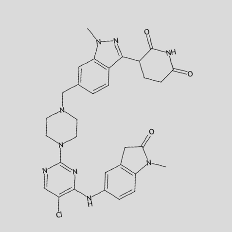 CN1C(=O)Cc2cc(Nc3nc(N4CCN(Cc5ccc6c(C7CCC(=O)NC7=O)nn(C)c6c5)CC4)ncc3Cl)ccc21